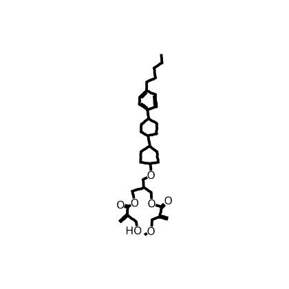 C=C(CO)C(=O)OCC(COC(=O)C(=C)COC)COC1CCC(C2CCC(c3ccc(CCCCC)cc3)CC2)CC1